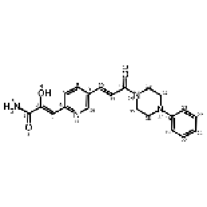 NC(=O)C(O)=Cc1ccc(C=CC(=O)N2CCN(c3ccccc3)CC2)cn1